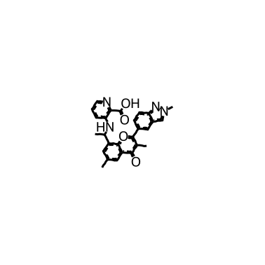 Cc1cc(C(C)Nc2cccnc2C(=O)O)c2oc(-c3ccc4nn(C)cc4c3)c(C)c(=O)c2c1